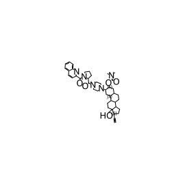 C#C[C@]1(O)CCC2C3CCC4C[C@H](OC(=O)N(C)C)C(N5CCN(C(=O)C6CCCN6C(=O)c6ccc7ccccc7n6)CC5)C[C@]4(C)C3CCC21C